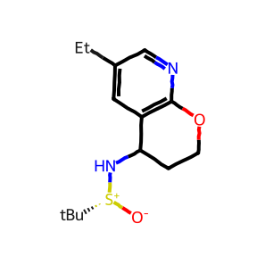 CCc1cnc2c(c1)C(N[S@+]([O-])C(C)(C)C)CCO2